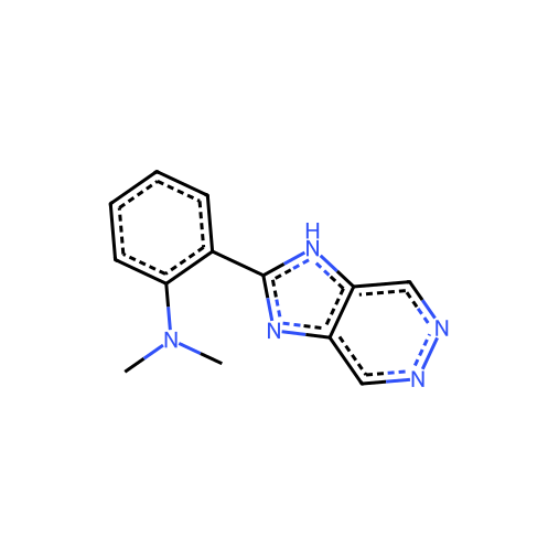 CN(C)c1ccccc1-c1nc2cnncc2[nH]1